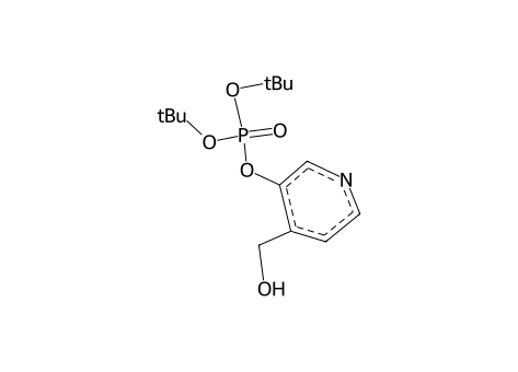 CC(C)(C)OP(=O)(Oc1cnccc1CO)OC(C)(C)C